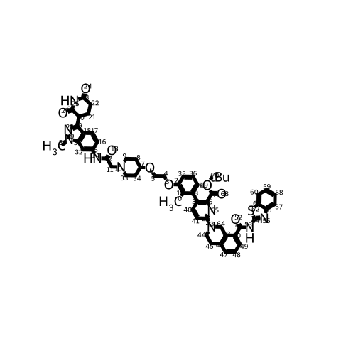 Cc1c(OCCOC2CCN(CC(=O)Nc3ccc4c(C5CCC(=O)NC5=O)nn(C)c4c3)CC2)cccc1-c1ccc(N2CCc3cccc(C(=O)Nc4nc5ccccc5s4)c3C2)nc1C(=O)OC(C)(C)C